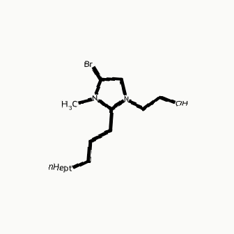 CCCCCCCCCCC1N(CCO)CC(Br)N1C